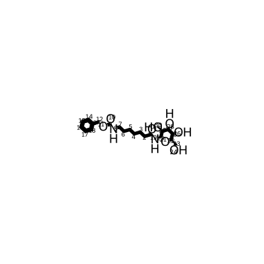 O=C(CCCCCCNC(=O)OCc1ccccc1)N[C@@H]1O[C@H](CO)[C@@H](O)[C@H](O)[C@@H]1O